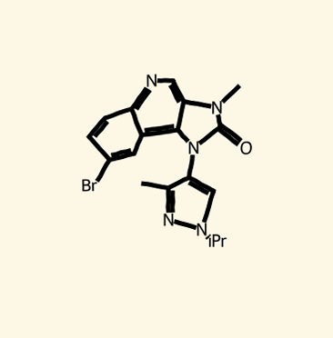 Cc1nn(C(C)C)cc1-n1c(=O)n(C)c2cnc3ccc(Br)cc3c21